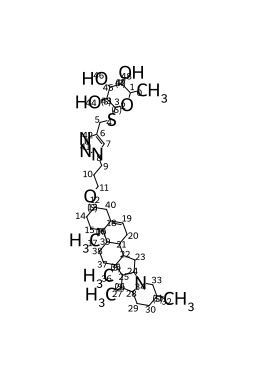 CC1O[C@@H](SCc2cn(CCCO[C@H]3CC[C@@]4(C)C(=CCC5C6CC7C([C@H](C)C8CC[C@H](C)CN78)[C@@]6(C)CCC54)C3)nn2)[C@@H](O)C(O)[C@H]1O